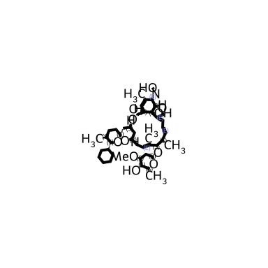 CO[C@H]1C[C@H](O[C@@H]2/C(C)=C/C[C@@H]3C[C@@H](C[C@]4(CC[C@H](C)[C@@H](C5CCCCC5)O4)O3)OC(=O)[C@@H]3C=C(C)/C(=N\O)[C@H]4OC/C(=C\C=C\[C@@H]2C)[C@]43O)O[C@@H](C)[C@@H]1O